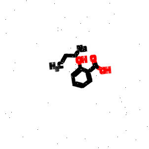 CC[CH2][Na].O=C(O)c1ccccc1O